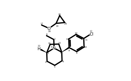 CCN1[C@@H]2CCC[C@@]1(c1ccc(Cl)cc1)CC2.COC1CC1